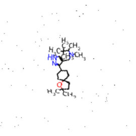 [CH2]C(N(C)Cc1c[nH]nc1C1CCC2(CC1)CCC(C)(C)O2)C(C)(C)C